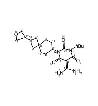 CCCCN1C(=O)C(=C(N)N)C(=O)N(C2CCC3(CC2)CN(C2COC2)C3)C1=O